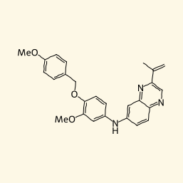 C=C(C)c1cnc2ccc(Nc3ccc(OCc4ccc(OC)cc4)c(OC)c3)cc2n1